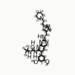 COc1cc(OC)cc(-c2cc3cnc(NCc4cn(CCN5CCCCC5)nn4)nc3nc2NC(O)NC(C)(C)C)c1